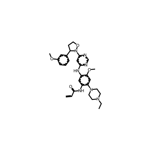 C=CC(=O)Nc1cc(Nc2cc(N3OCCC3c3cccc(OC)c3)ncn2)c(OC)cc1N1CCN(CC)CC1